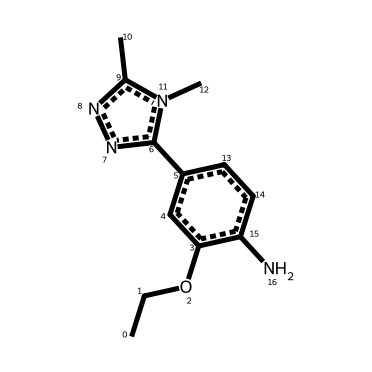 CCOc1cc(-c2nnc(C)n2C)ccc1N